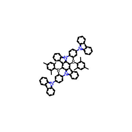 Cc1cc(C)c(B2c3cc(-n4c5ccccc5c5ccccc54)ccc3-n3c4ccccc4c4c5c6c(c2c43)c2ccccc2n6-c2ccc(-n3c4ccccc4c4ccccc43)cc2B5c2c(C)cc(C)cc2C)c(C)c1